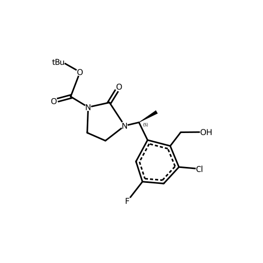 C[C@@H](c1cc(F)cc(Cl)c1CO)N1CCN(C(=O)OC(C)(C)C)C1=O